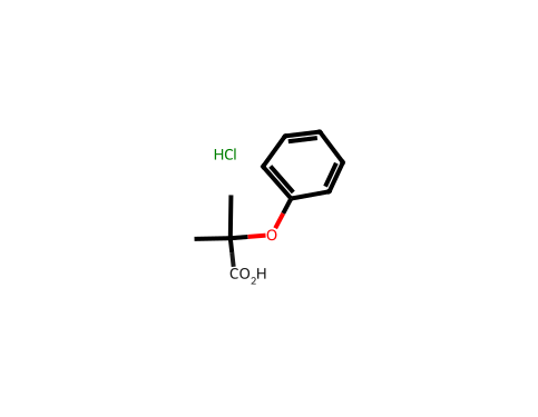 CC(C)(Oc1ccccc1)C(=O)O.Cl